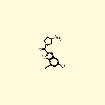 N[C@@H]1CCN(C(=O)c2cc3cc(Cl)cc(F)c3[nH]2)C1